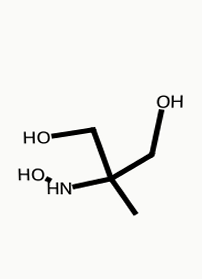 CC(CO)(CO)NO